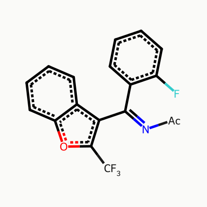 CC(=O)N=C(c1ccccc1F)c1c(C(F)(F)F)oc2ccccc12